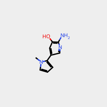 Cn1cccc1-c1cnc(N)c(O)c1